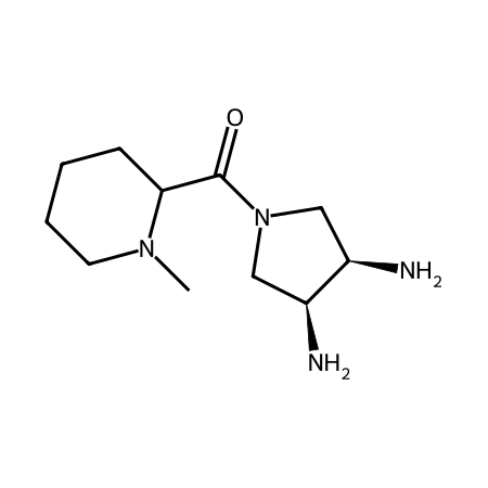 CN1CCCCC1C(=O)N1C[C@@H](N)[C@@H](N)C1